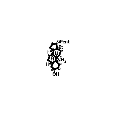 CCCC(C)[C@H]1CC[C@H]2[C@@H]3CC[C@@H]4C[C@H](O)CC[C@]4(C)[C@H]3CC[C@]12CC